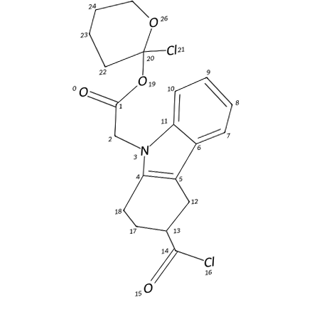 O=C(Cn1c2c(c3ccccc31)CC(C(=O)Cl)CC2)OC1(Cl)CCCCO1